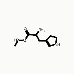 CPOC(=O)C(N)CC1=CNCC1